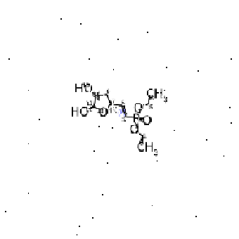 CCOP(=O)(/C=C/[C@@H]1C[C@@H](O)C(O)O1)OCC